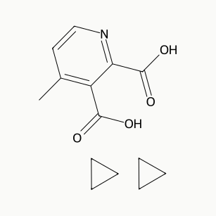 C1CC1.C1CC1.Cc1ccnc(C(=O)O)c1C(=O)O